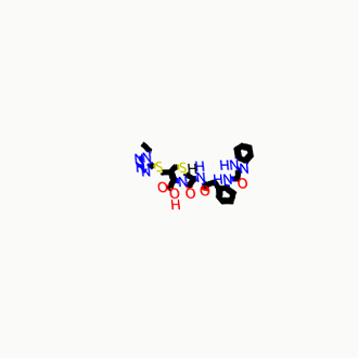 CCn1nnnc1SCC1=C(C(=O)O)N2C(=O)C(NC(=O)Cc3ccccc3NC(=O)c3nc4ccccc4[nH]3)[C@H]2SC1